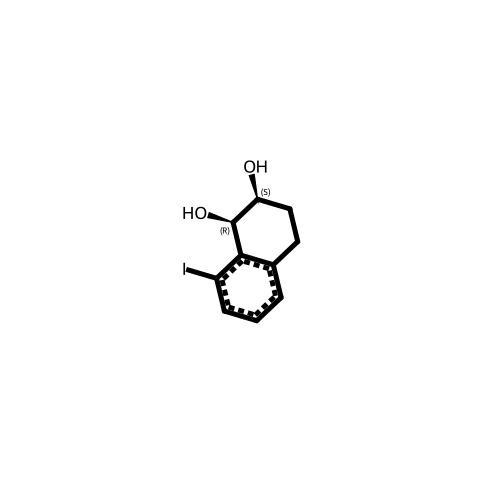 O[C@@H]1c2c(I)cccc2CC[C@@H]1O